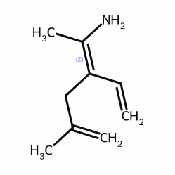 C=C/C(CC(=C)C)=C(/C)N